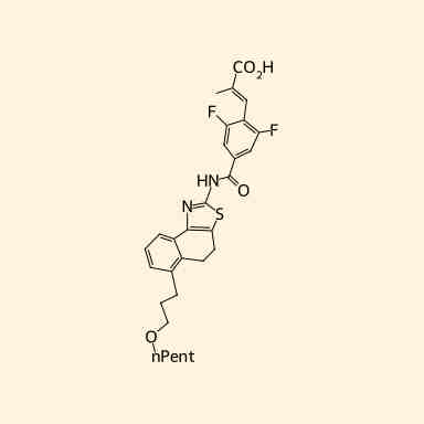 CCCCCOCCCc1cccc2c1CCc1sc(NC(=O)c3cc(F)c(/C=C(\C)C(=O)O)c(F)c3)nc1-2